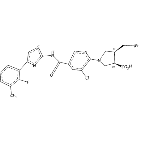 CC(C)C[C@@H]1CN(c2ncc(C(=O)Nc3nc(-c4cccc(C(F)(F)F)c4F)cs3)cc2Cl)C[C@@H]1C(=O)O